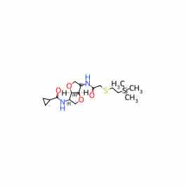 C[Si](C)(C)CCSCC(=O)N[C@@H]1CO[C@H]2[C@@H]1OC[C@H]2NC(=O)C1CC1